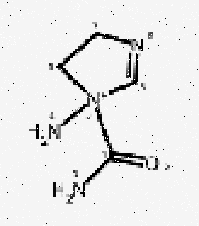 NC(=O)[N+]1(N)C=NCC1